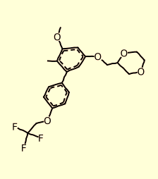 COc1cc(OCC2COCCO2)cc(-c2ccc(OCC(F)(F)F)cc2)c1C